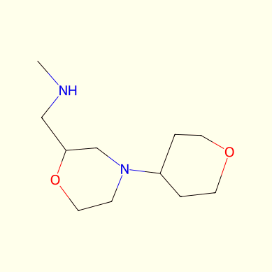 CNCC1CN(C2CCOCC2)CCO1